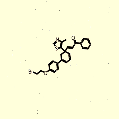 Cc1ncsc1C1(C=CC(=O)c2ccccc2)C=CC=C(c2ccc(OCCBr)cc2)C1